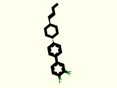 CCC=C[C@H]1CC[C@H](c2ccc(-c3ccc(F)c(F)c3)cc2)CC1